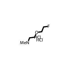 CNCCOCCF.Cl.Cl